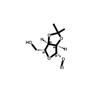 CCO[C@@H]1O[C@H](CO)[C@H]2OC(C)(C)O[C@@H]12